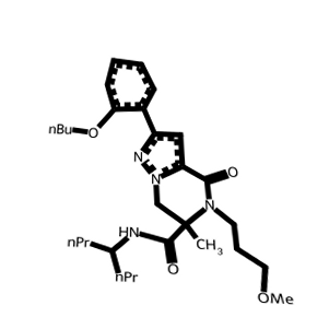 CCCCOc1ccccc1-c1cc2n(n1)CC(C)(C(=O)NC(CCC)CCC)N(CCCOC)C2=O